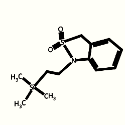 C[Si](C)(C)CCN1c2ccccc2CS1(=O)=O